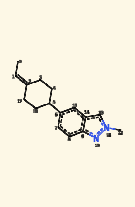 CC=C1CCC(c2ccc3nn(C)cc3c2)CC1